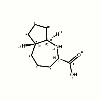 O=C(O)[C@@H]1CCC[C@@H]2CCC[C@H]2N1